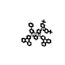 CC(C)(C)c1ccc2c(c1)c1cc(C(C)(C)C)ccc1n2-c1ccc2c(c1)N(c1ccc3c4ccccc4c4ccccc4c3c1)c1cccc3c1B2c1cc(-c2ccccc2)ccc1N3c1ccc2c3ccccc3c3ccccc3c2c1